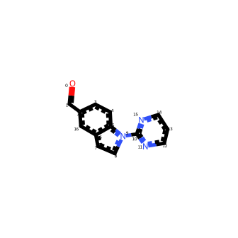 O=Cc1ccc2c(ccn2-c2ncccn2)c1